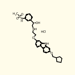 CS(=O)(=O)Nc1cccc([C@@H](O)CNCCOc2ccc3c(c2)[nH]c2cc(OCC4CCCC4)ccc23)c1.Cl